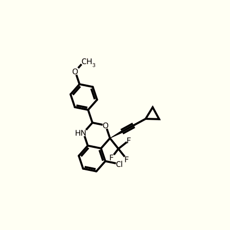 COc1ccc(C2Nc3cccc(Cl)c3[C@@](C#CC3CC3)(C(F)(F)F)O2)cc1